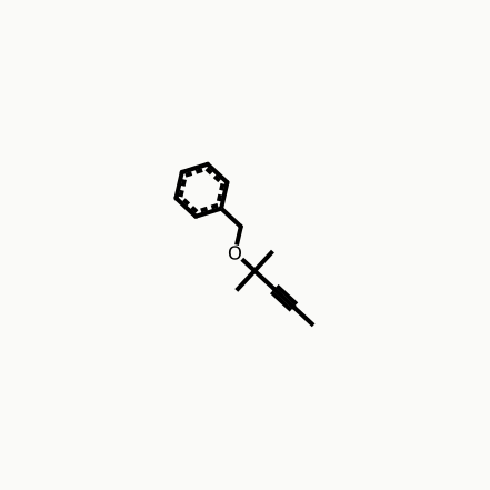 CC#CC(C)(C)OCc1ccccc1